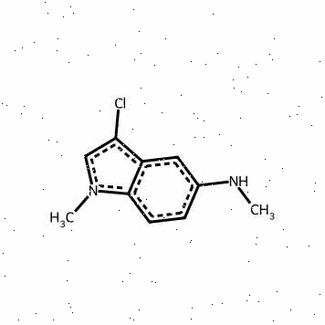 CNc1ccc2c(c1)c(Cl)cn2C